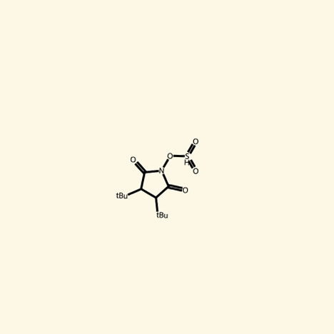 CC(C)(C)C1C(=O)N(O[SH](=O)=O)C(=O)C1C(C)(C)C